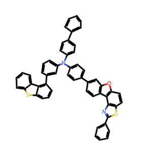 c1ccc(-c2ccc(N(c3ccc(-c4ccc5c(c4)oc4ccc6sc(-c7ccccc7)nc6c45)cc3)c3cccc(-c4cccc5sc6ccccc6c45)c3)cc2)cc1